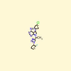 C[C@@H](c1cn(-c2ccccc2F)nn1)n1cc(-c2ccc(Cl)cc2)c2c(N)ncnc21